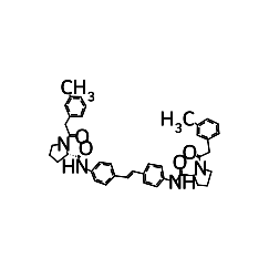 Cc1cccc(CC(=O)N2CCC[C@H]2C(=O)Nc2ccc(/C=C/c3ccc(NC(=O)[C@@H]4CCCN4C(=O)Cc4cccc(C)c4)cc3)cc2)c1